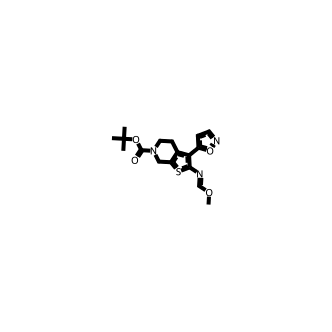 COC=Nc1sc2c(c1-c1ccno1)CCN(C(=O)OC(C)(C)C)C2